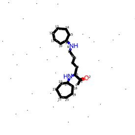 CC(=O)C(CCCCNC1CCCCCC1)NC1CCCCCC1